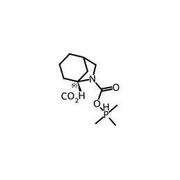 C[PH](C)(C)OC(=O)N1CC2CCC[C@]1(C(=O)O)C2